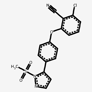 CS(=O)(=O)n1nccc1-c1ccc(Oc2cccc(Cl)c2C#N)cc1